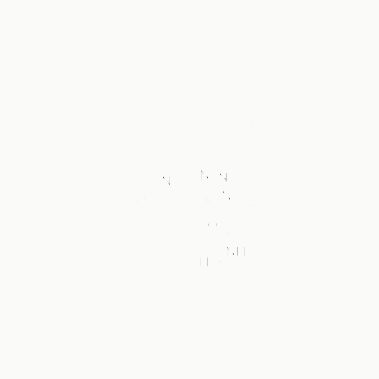 O=C(C[C@@H](Cc1ccc2ccccc2c1)n1cc(CNC(=O)C2CCCCC2)nn1)NO